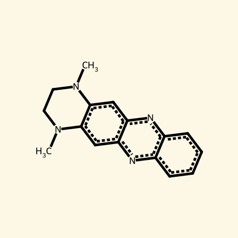 CN1CCN(C)c2cc3nc4ccccc4nc3cc21